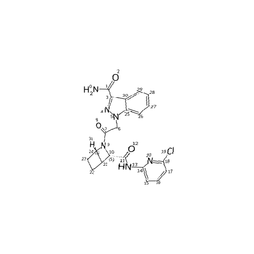 NC(=O)c1nn(CC(=O)N2[C@H](C(=O)Nc3cccc(Cl)n3)C3CC[C@@H]32)c2ccccc12